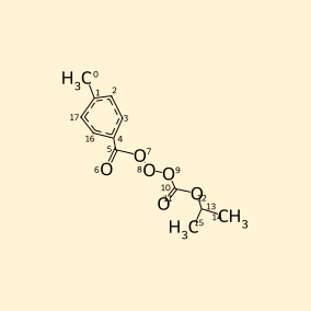 Cc1ccc(C(=O)OOOC(=O)OC(C)C)cc1